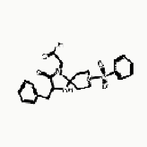 O=C(O)CN1C(=O)C(Cc2ccccc2)NC12CCN(S(=O)(=O)c1ccccc1)CC2